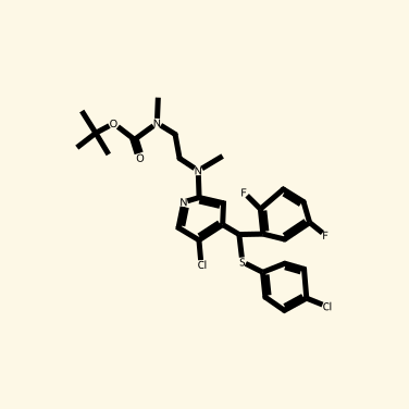 CN(CCN(C)c1cc(C(Sc2ccc(Cl)cc2)c2cc(F)ccc2F)c(Cl)cn1)C(=O)OC(C)(C)C